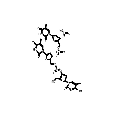 Cc1cn(C2CC(O[PH](=O)OCC3OC(n4cc(C)c(=O)[nH]c4=O)C[C@@H]3O[PH](=O)OCC3OC(n4cc(C)c(=O)[nH]c4=O)C[C@@H]3O[PH](=O)S)C(CO)O2)c(=O)nc1N